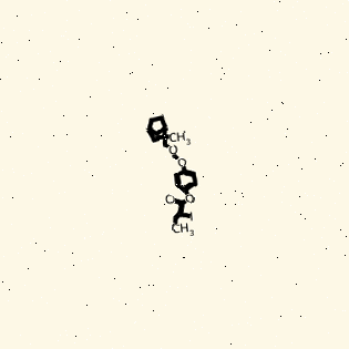 CCC(I)C(=O)Oc1ccc(OCOCC2(C)CC3CCC2C3)cc1